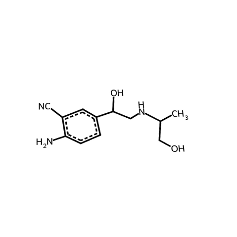 CC(CO)NCC(O)c1ccc(N)c(C#N)c1